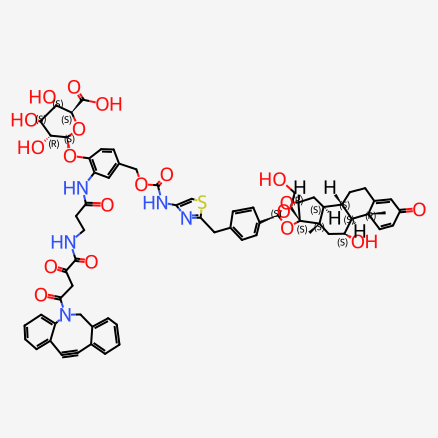 C[C@]12C=CC(=O)C=C1CC[C@@H]1[C@@H]2[C@@H](O)C[C@@]2(C)[C@H]1C[C@H]1O[C@H](c3ccc(Cc4nc(NC(=O)OCc5ccc(O[C@@H]6O[C@H](C(=O)O)[C@@H](O)[C@H](O)[C@H]6O)c(NC(=O)CCNC(=O)C(=O)CC(=O)N6Cc7ccccc7C#Cc7ccccc76)c5)cs4)cc3)O[C@]12C(=O)CO